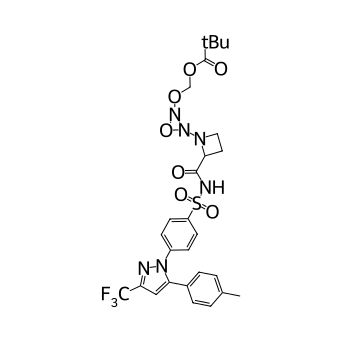 Cc1ccc(-c2cc(C(F)(F)F)nn2-c2ccc(S(=O)(=O)NC(=O)C3CCN3n3on3OCOC(=O)C(C)(C)C)cc2)cc1